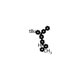 CC1C=CC=CC1c1ccccc1Nc1ccc(-c2ccc(N(c3ccc(-c4ccccc4)cc3)c3ccc(C(C)(C)C)cc3)cc2)cc1